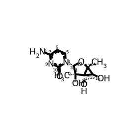 C[C@]1(O)[C@H](n2ccc(N)nc2=O)O[C@]2(C)C(O)[C@@]12O